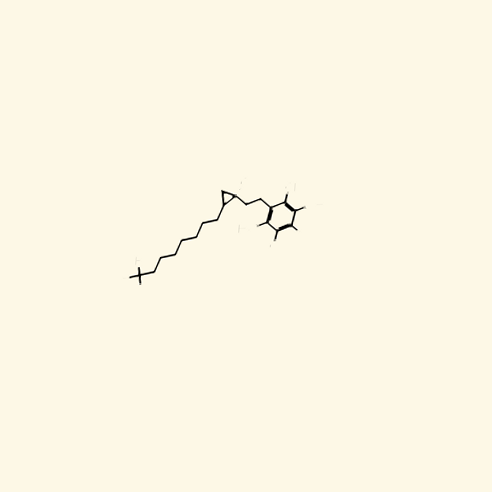 Cc1c(C)c(O)c(CC[C@]2(C)CC2CCCCCCCC(F)(F)F)c(C)c1O